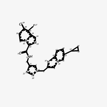 O=C(NCc1cn(Cc2cn3cc(C4CC4)ccc3n2)nn1)c1ncc2c(F)c(Cl)ccn12